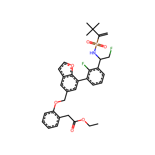 C=C(C(C)(C)C)S(=O)(=O)NC(CF)c1cccc(-c2cc(COc3ccccc3CC(=O)OCC)cc3ccoc23)c1F